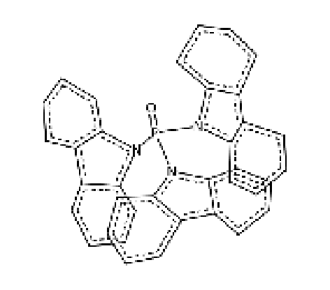 O=P(n1c2ccccc2c2ccccc21)(n1c2ccccc2c2ccccc21)n1c2ccccc2c2ccccc21